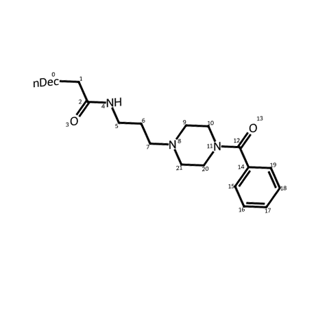 CCCCCCCCCCCC(=O)NCCCN1CCN(C(=O)c2ccccc2)CC1